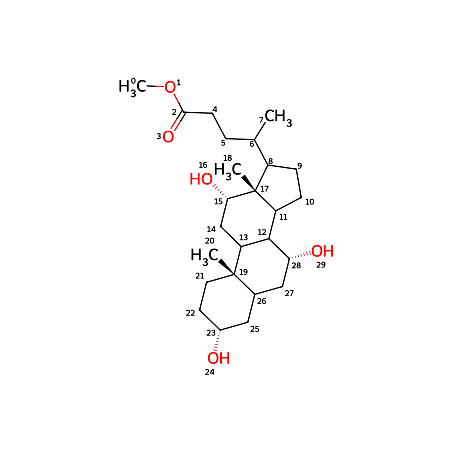 COC(=O)CCC(C)C1CCC2C3C(C[C@H](O)[C@]12C)[C@@]1(C)CC[C@@H](O)CC1C[C@H]3O